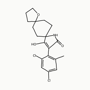 Cc1cc(Cl)cc(Cl)c1C1=C(O)C2(CCC3(CCCO3)CC2)NC1=O